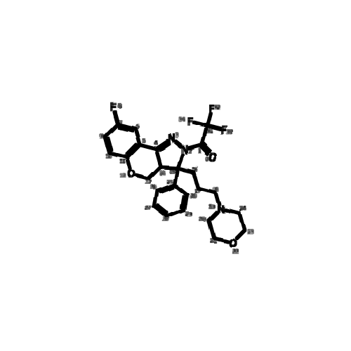 O=C(N1N=C2c3cc(F)ccc3OCC2C1(CCCN1CCOCC1)c1ccccc1)C(F)(F)F